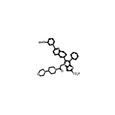 COc1cccc(-c2ccc3cc(-c4c(-c5ccccc5)c5sc(C(=O)O)cc5n4CC(=O)N4CCC(N5CCOCC5)CC4)ccc3n2)c1